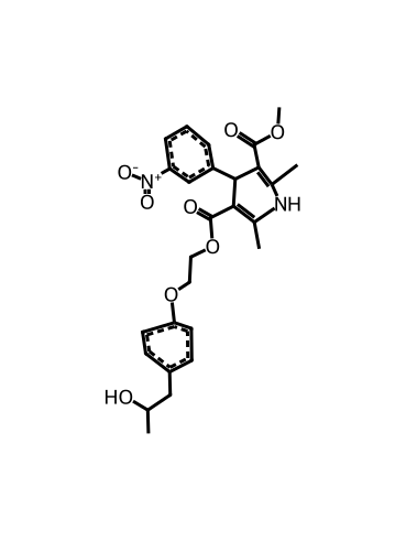 COC(=O)C1=C(C)NC(C)=C(C(=O)OCCOc2ccc(CC(C)O)cc2)C1c1cccc([N+](=O)[O-])c1